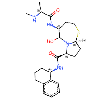 CN[C@@H](C)C(=O)N[C@H]1CCS[C@H]2CC[C@@H](C(=O)N[C@@H]3CCCc4ccccc43)N2C1O